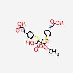 CCOC(=O)C1(CSc2ccc(/C=C/C(=O)O)cc2)OC(=O)C(O)=C1Sc1ccc(/C=C/C(=O)O)cc1